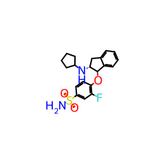 NS(=O)(=O)c1ccc(O[C@@H]2c3ccccc3C[C@H]2NC2CCCC2)c(F)c1